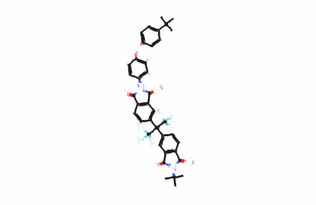 CC(C)(C)c1ccc(Oc2ccc(N3C(=O)c4ccc(C(c5ccc6c(c5)C(=O)N(C(C)(C)C)C6=O)(C(F)(F)F)C(F)(F)F)cc4C3=O)cc2)cc1